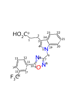 O=C(O)CCc1cn(Cc2noc(-c3cccc(C(F)(F)F)c3)n2)c2ccccc12